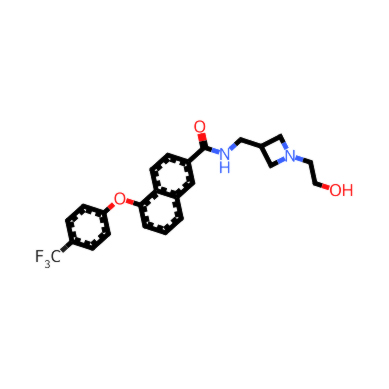 O=C(NCC1CN(CCO)C1)c1ccc2c(Oc3ccc(C(F)(F)F)cc3)cccc2c1